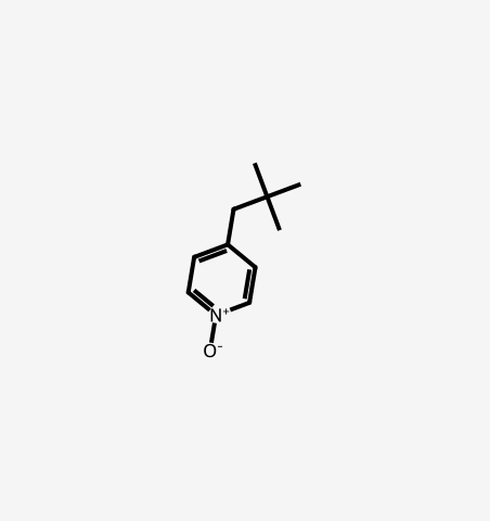 CC(C)(C)Cc1cc[n+]([O-])cc1